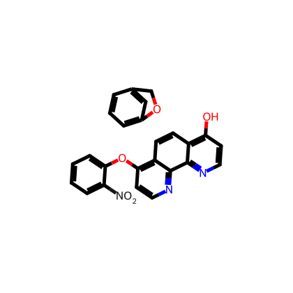 O=[N+]([O-])c1ccccc1Oc1ccnc2c1ccc1c(O)ccnc12.c1cc2cc(c1)OC2